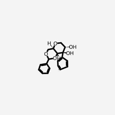 O[C@H]1CO[C@@H]2COC(c3ccccc3)O[C@H]2[C@@]1(O)c1cc[c]cc1